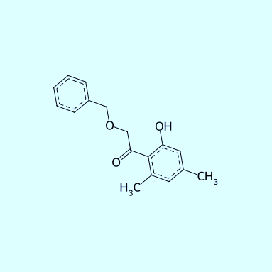 Cc1cc(C)c(C(=O)COCc2ccccc2)c(O)c1